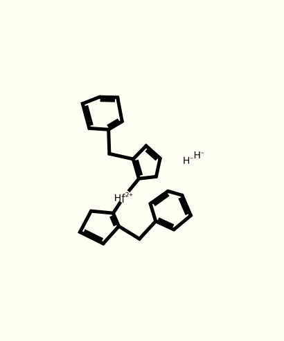 C1=CC(Cc2ccccc2)=[C]([Hf+2][C]2=C(Cc3ccccc3)C=CC2)C1.[H-].[H-]